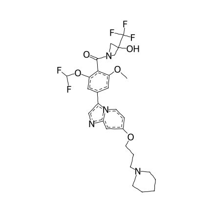 COc1cc(-c2cnc3cc(OCCCN4CCCCC4)ccn23)cc(OC(F)F)c1C(=O)N1CC(O)(C(F)(F)F)C1